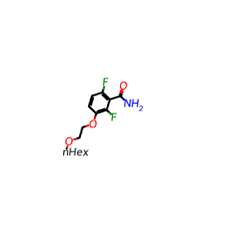 CCCCCCOCCOc1ccc(F)c(C(N)=O)c1F